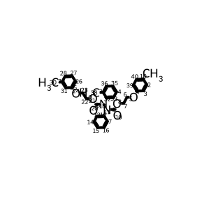 Cc1ccc(OCCOC(=O)N(c2ccccc2)N(C(=O)OCCOc2cccc(C)c2)c2ccccc2C)cc1